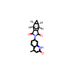 Cc1cc(=O)[nH]c2cc(N3C(=O)C4C(C3=O)[C@@H]3C[C@H]4[C@H]4C[C@H]43)ccc12